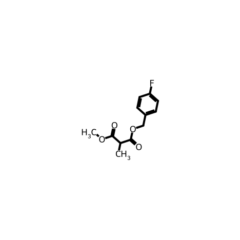 COC(=O)C(C)C(=O)OCc1ccc(F)cc1